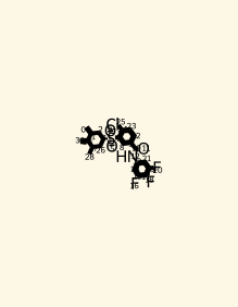 C=C1C[C@@H](S(=O)(=O)c2cc(C(=O)Nc3cc(F)c(F)c(F)c3)ccc2Cl)CC(C)C1=C